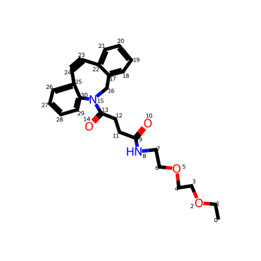 CCOCCOCCNC(=O)CCC(=O)N1Cc2ccccc2C#Cc2ccccc21